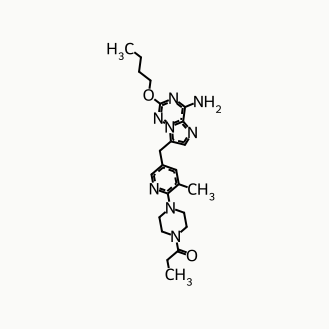 CCCCOc1nc(N)c2ncc(Cc3cnc(N4CCN(C(=O)CC)CC4)c(C)c3)n2n1